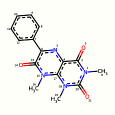 Cn1c(=O)c2nc(-c3ccccc3)c(=O)n(C)c2n(C)c1=O